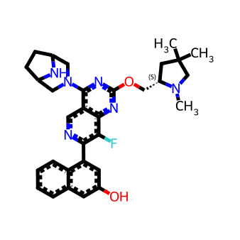 CN1CC(C)(C)C[C@H]1COc1nc(N2CC3CCC(C2)N3)c2cnc(-c3cc(O)cc4ccccc34)c(F)c2n1